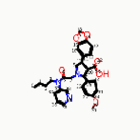 CCCCN(C(=O)CN1CC(c2ccc3c(c2)OCO3)C(C(=O)O)C1c1ccc(OC)cc1)c1cccnc1